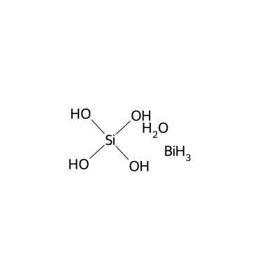 O.O[Si](O)(O)O.[BiH3]